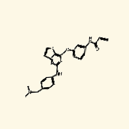 C=CC(=O)Nc1cccc(Oc2nc(Nc3ccc(CN(C)C)cc3)nc3ccoc23)c1